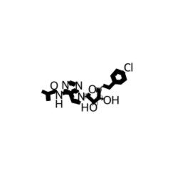 C=C(C)C(=O)Nc1ncnc2c1ccn2[C@@H]1O[C@H](CCc2ccc(Cl)cc2)[C@@H](O)[C@H]1O